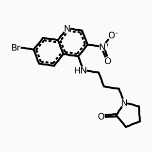 O=C1CCCN1CCCNc1c([N+](=O)[O-])cnc2cc(Br)ccc12